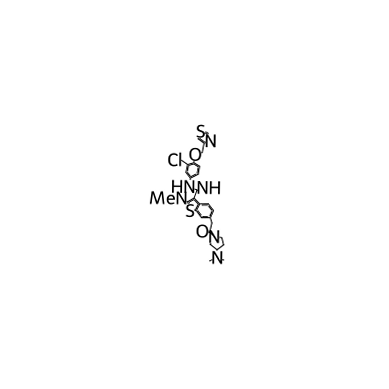 CNc1sc2cc(CC(=O)N3CC[C@H](N(C)C)C3)ccc2c1C(=N)Nc1ccc(OCc2cscn2)c(Cl)c1